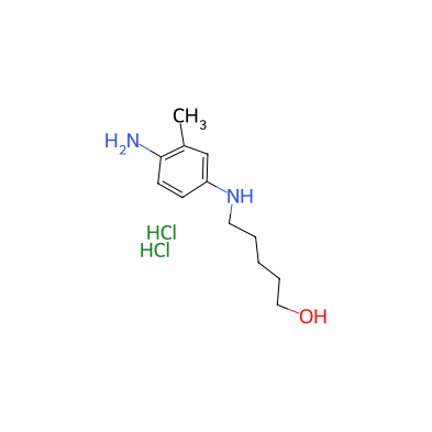 Cc1cc(NCCCCCO)ccc1N.Cl.Cl